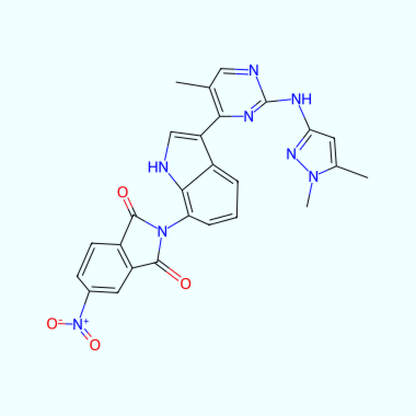 Cc1cnc(Nc2cc(C)n(C)n2)nc1-c1c[nH]c2c(N3C(=O)c4ccc([N+](=O)[O-])cc4C3=O)cccc12